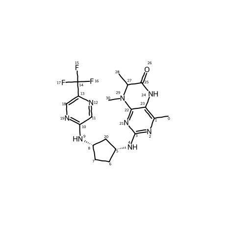 Cc1nc(N[C@@H]2CC[C@H](Nc3cnc(C(F)(F)F)cn3)C2)nc2c1NC(=O)C(C)N2C